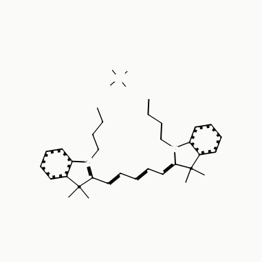 CCCCN1C(=CC=CC=CC2=[N+](CCCC)c3ccccc3C2(C)C)C(C)(C)c2ccccc21.[O-][Cl+3]([O-])([O-])[O-]